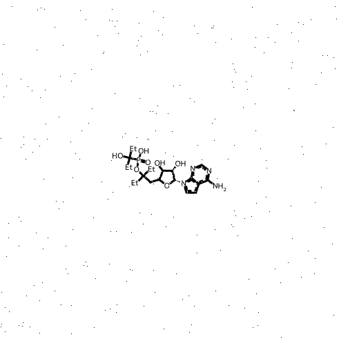 CCC(CC)(CC1O[C@@H](n2ccc3c(N)ncnc32)[C@H](O)C1O)OP(=O)(O)C(O)(CC)CC